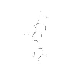 N#Cc1cc(-c2ccc(O)c(F)c2)cc2ccc(OP(=O)(O)O)cc12